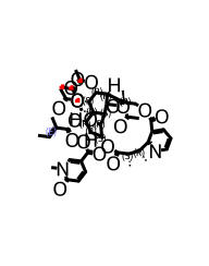 C/C=C(\C)C(=O)O[C@H]1[C@@H](OC(=O)c2ccc(=O)n(C)c2)[C@@H]2OC(=O)[C@@H](C)[C@@H](C)c3ncccc3C(=O)OC[C@]3(C)O[C@@]4(C(OC(C)=O)[C@H]3[C@@H](OC(C)=O)[C@@H](OC(C)=O)[C@]14COC(C)=O)[C@]2(C)O